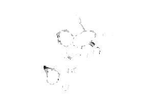 O=C(Nc1ccccc1Cl)Nn1c(=O)c(O)cc(=O)c2ccccc21